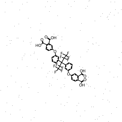 O=C(O)c1ccc(Oc2cccc(C(c3cccc(Oc4ccc(C(=O)O)c(C(=O)O)c4)c3)(C(F)(F)C(F)(F)F)C(F)(F)C(F)(F)F)c2)cc1C(=O)O